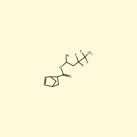 CC(C)C(CC(F)(F)C(F)(F)C(F)(F)F)OC(=O)C1CC2C=CC1C2